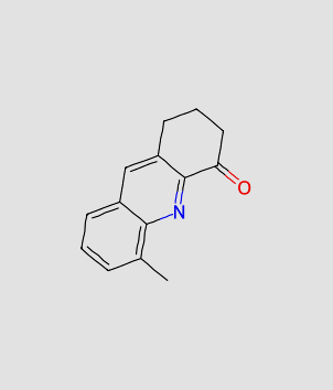 Cc1cccc2cc3c(nc12)C(=O)CCC3